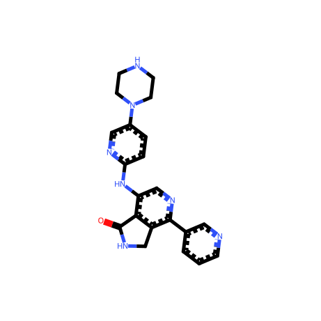 O=C1NCc2c(-c3cccnc3)ncc(Nc3ccc(N4CCNCC4)cn3)c21